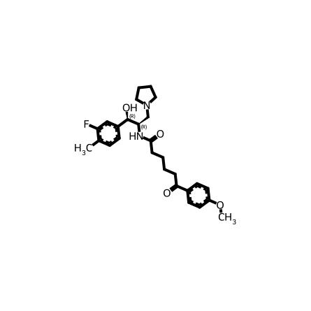 COc1ccc(C(=O)CCCCC(=O)N[C@H](CN2CCCC2)[C@H](O)c2ccc(C)c(F)c2)cc1